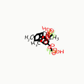 COC12CC(CC(C(=O)OCC(F)(F)S(=O)(=O)O)C1)CC(C)(C1C3CC(C)CC1(C)CC(C(=O)OCC(F)(F)S(=O)(=O)O)C3)C2